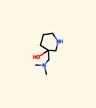 CN(C)CC1(O)CCCNC1